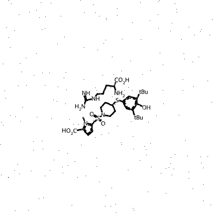 Cn1c(C(=O)O)ccc1S(=O)(=O)N1CCC(Sc2cc(C(C)(C)C)c(O)c(C(C)(C)C)c2)CC1.N=C(N)NCCC[C@H](N)C(=O)O